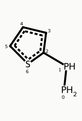 PPc1cccs1